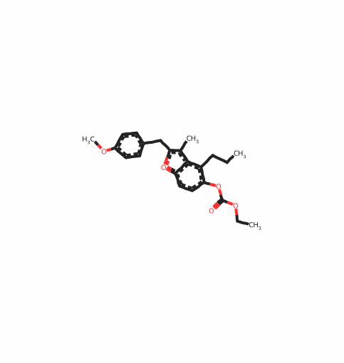 CCCc1c(OC(=O)OCC)ccc2oc(Cc3ccc(OC)cc3)c(C)c12